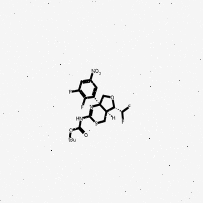 CC(C)(C)OC(=O)NC1=N[C@@]2(c3cc([N+](=O)[O-])cc(F)c3F)CO[C@H](C(F)F)[C@H]2CS1